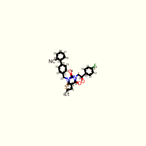 CCc1cc2c(=O)n(CC(=O)c3ccc(F)cc3)c(=O)n(Cc3ccc(-c4ccccc4C#N)cc3)c2s1